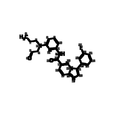 CCCN(CC=O)c1cccc(NC(=O)c2ccc3ncc(-c4cccc(F)c4)n3n2)n1